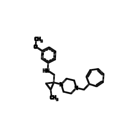 COc1cccc(NCC2(N3CCN(CC4C=CC=CC=C4)CC3)CC2C)c1